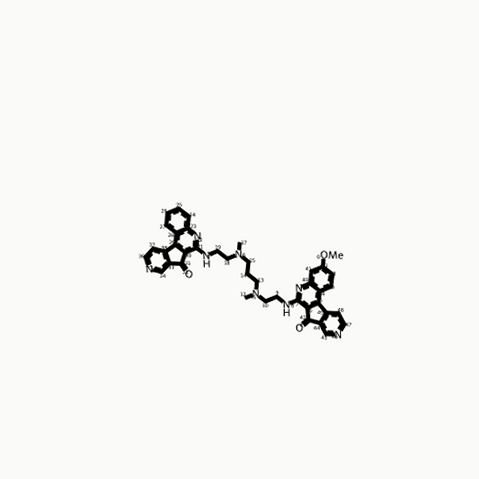 COc1ccc2c3c(c(NCCN(C)CCCN(C)CCNc4nc5ccccc5c5c4C(=O)c4cnccc4-5)nc2c1)C(=O)c1cnccc1-3